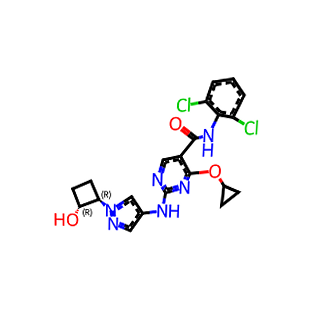 O=C(Nc1c(Cl)cccc1Cl)c1cnc(Nc2cnn([C@@H]3CC[C@H]3O)c2)nc1OC1CC1